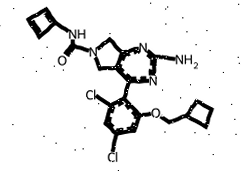 Nc1nc2c(c(-c3c(Cl)cc(Cl)cc3OCC3CCC3)n1)CN(C(=O)NC1=CC=C1)C2